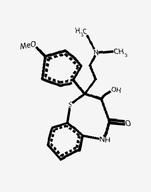 COc1ccc(C2(CCN(C)C)Sc3ccccc3NC(=O)C2O)cc1